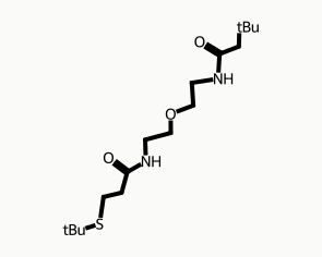 CC(C)(C)CC(=O)NCCOCCNC(=O)CCSC(C)(C)C